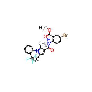 COC(=O)c1cc(Br)ccc1NC(=O)c1cc(C)n(-c2ccccc2C(F)(F)F)c1C